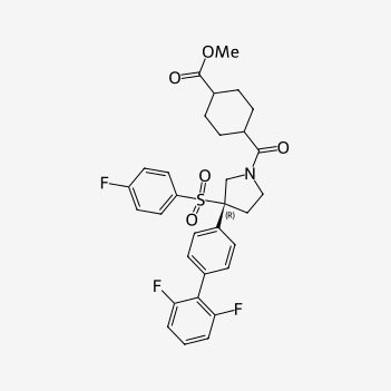 COC(=O)C1CCC(C(=O)N2CC[C@](c3ccc(-c4c(F)cccc4F)cc3)(S(=O)(=O)c3ccc(F)cc3)C2)CC1